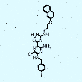 N/C(=N\C(=O)c1nc(Cl)c(NCc2ccc(I)cc2)nc1N)NCCCOc1ccc2ccccc2c1